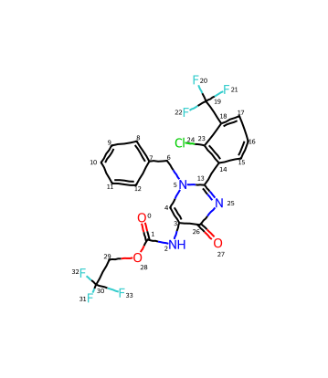 O=C(Nc1cn(Cc2ccccc2)c(-c2cccc(C(F)(F)F)c2Cl)nc1=O)OCC(F)(F)F